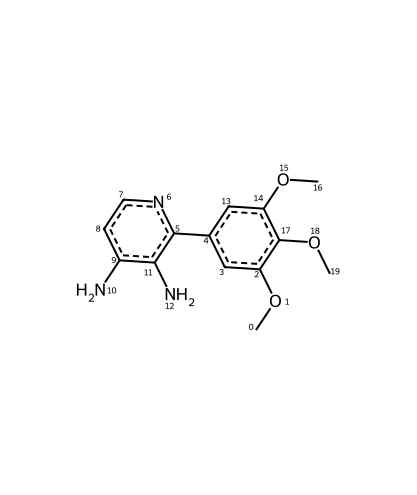 COc1cc(-c2nccc(N)c2N)cc(OC)c1OC